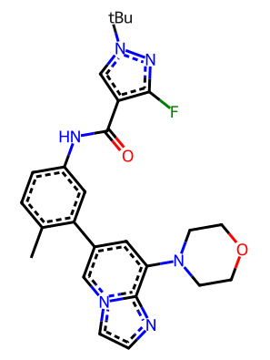 Cc1ccc(NC(=O)c2cn(C(C)(C)C)nc2F)cc1-c1cc(N2CCOCC2)c2nccn2c1